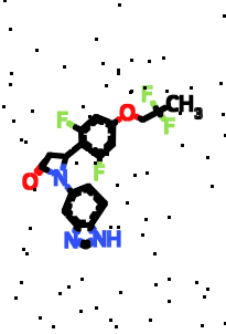 CC(F)(F)COc1cc(F)c(C2CC(=O)N2c2ccc3[nH]cnc3c2)c(F)c1